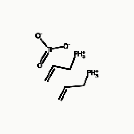 C=CC[PH3+].C=CC[PH3+].[O]=[Ti]([O-])[O-]